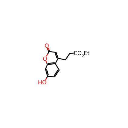 CCOC(=O)CCc1cc(=O)oc2cc(O)ccc12